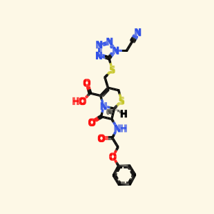 N#CCn1nnnc1SCC1=C(C(=O)O)N2C(=O)C(NC(=O)COc3ccccc3)[C@@H]2SC1